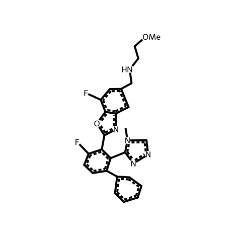 COCCNCc1cc(F)c2oc(-c3c(F)ccc(-c4ccccc4)c3-c3nncn3C)nc2c1